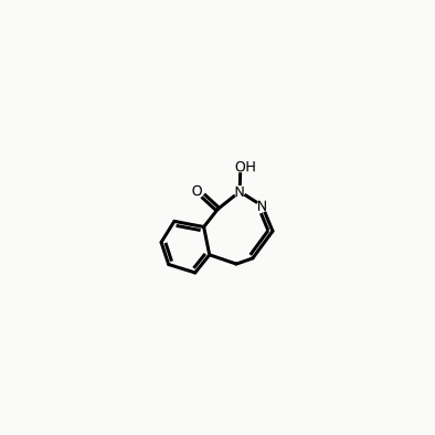 O=C1c2ccccc2CC=C=NN1O